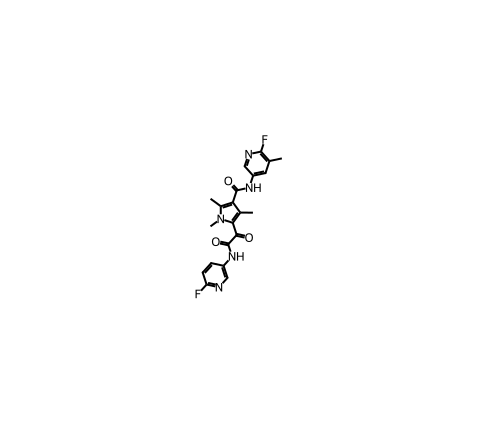 Cc1cc(NC(=O)c2c(C)c(C(=O)C(=O)Nc3ccc(F)nc3)n(C)c2C)cnc1F